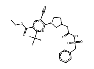 CCOC(=O)c1cc(C#N)c(N2CCC(CC(=O)NS(=O)(=O)Cc3ccccc3)C2)nc1C(F)(F)F